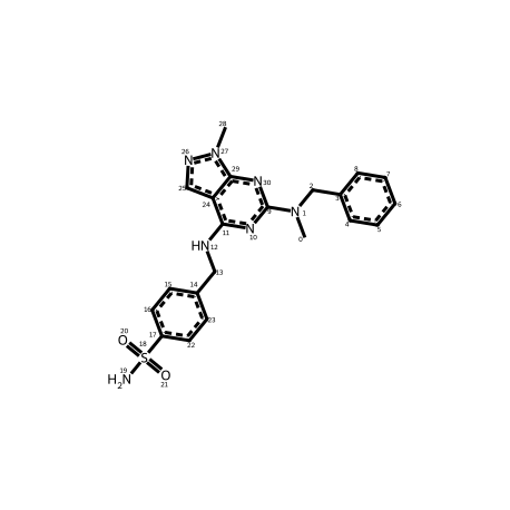 CN(Cc1ccccc1)c1nc(NCc2ccc(S(N)(=O)=O)cc2)c2cnn(C)c2n1